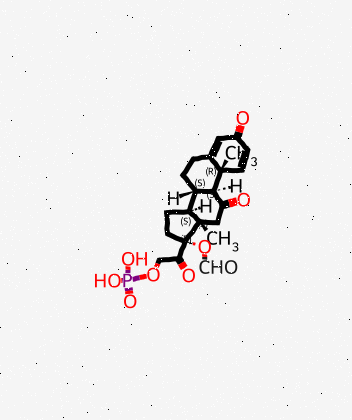 C[C@]12C=CC(=O)C=C1CC[C@@H]1[C@@H]2C(=O)C[C@@]2(C)[C@H]1CC[C@]2(OC=O)C(=O)COP(=O)(O)O